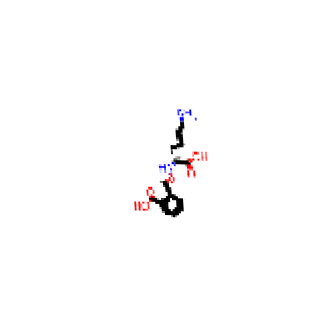 NCCCC[C@@H](NOCc1ccccc1C(=O)O)C(=O)O